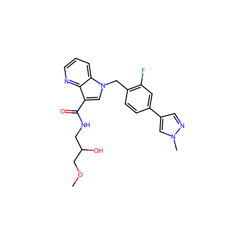 COCC(O)CNC(=O)c1cn(Cc2ccc(-c3cnn(C)c3)cc2F)c2cccnc12